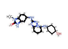 Cn1c(=O)[nH]c2cc(Nc3nc4cccc(N[C@H]5CC[C@@H](O)CC5)n4n3)ccc21